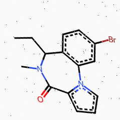 CCC1c2ccc(Br)cc2-n2cccc2C(=O)N1C